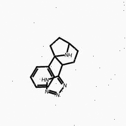 c1ccc(C23CCC(CCC2c2nnn[nH]2)N3)cc1